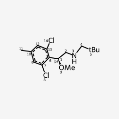 CO[C@H](CNCC(C)(C)C)c1c(Cl)cc(C)cc1Cl